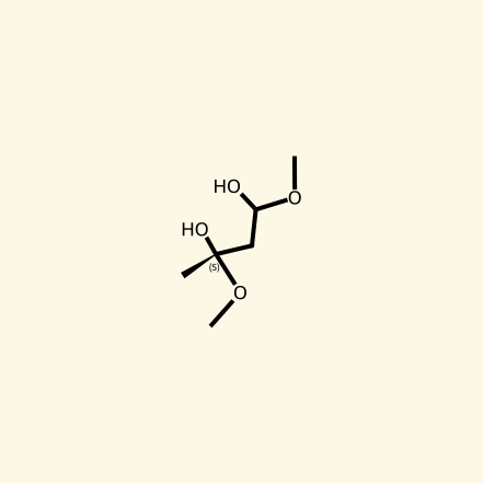 COC(O)C[C@@](C)(O)OC